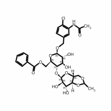 CC(=O)Nc1cc(CO[C@@H]2O[C@H](COC(=O)c3ccccc3)[C@@H](O[C@H]3O[C@@H]4COC(C)O[C@H]4[C@H](O)[C@H]3O)[C@H](O)[C@H]2O)ccc1Cl